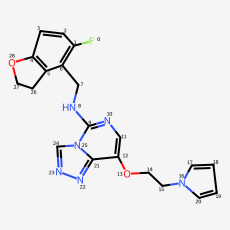 Fc1ccc2c(c1CNc1ncc(OCCn3cccc3)c3nncn13)CCO2